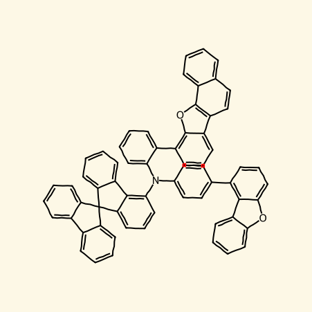 c1ccc(N(c2ccc(-c3cccc4oc5ccccc5c34)cc2)c2cccc3c2-c2ccccc2C32c3ccccc3-c3ccccc32)c(-c2cccc3c2oc2c4ccccc4ccc32)c1